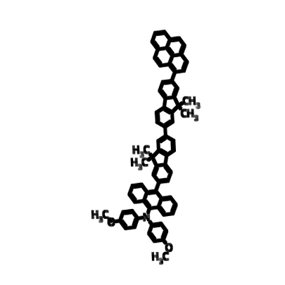 COc1ccc(N(c2ccc(OC)cc2)c2c3ccccc3c(-c3ccc4c(c3)C(C)(C)c3cc(-c5ccc6c(c5)C(C)(C)c5cc(-c7ccc8ccc9cccc%10ccc7c8c9%10)ccc5-6)ccc3-4)c3ccccc23)cc1